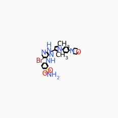 Cc1cc(-c2nc3c(Nc4cccc(S(N)(=O)=O)c4)c(Br)cnc3[nH]2)c(C)n1-c1ccc(N2CCOCC2)cc1